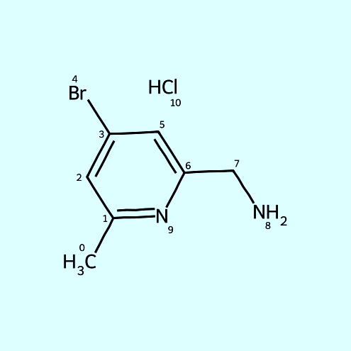 Cc1cc(Br)cc(CN)n1.Cl